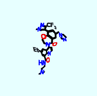 CCc1cc(C(=O)NCCN(C)C)c2nccc(N3CCOc4c(cc(Cn5ccnc5)cc4-c4cn(C)nc4C(F)(F)F)C3=O)c2c1